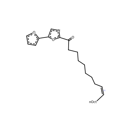 CCCCCCCC/C=C\CCCCCCCC(=O)c1ncc(-c2ccco2)o1